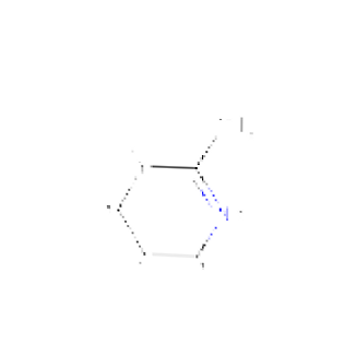 C[C]1=NCC[CH2][Y]1